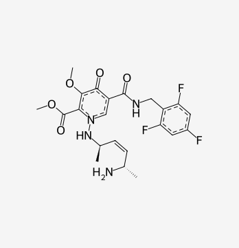 COC(=O)c1c(OC)c(=O)c(C(=O)NCc2c(F)cc(F)cc2F)cn1N[C@H](C)/C=C\[C@H](C)N